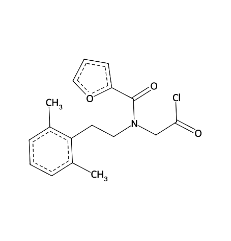 Cc1cccc(C)c1CCN(CC(=O)Cl)C(=O)c1ccco1